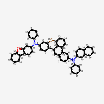 c1ccc(N(c2ccc3c(c2)Sc2cccc4c2c-3cc2ccc(N(c3ccccc3)c3ccc5ccccc5c3)cc24)c2ccc3c(c2)oc2ccccc23)cc1